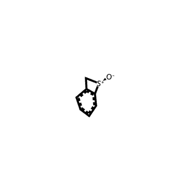 [O-][S@+]1Cc2ccccc21